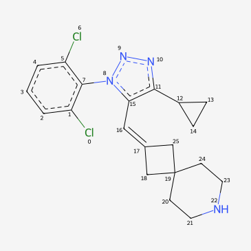 Clc1cccc(Cl)c1-n1nnc(C2CC2)c1C=C1CC2(CCNCC2)C1